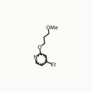 CCc1ccnc(OCCCOC)c1